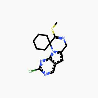 CSC1=NCc2cc3cnc(Cl)nc3n2C12CCCCC2